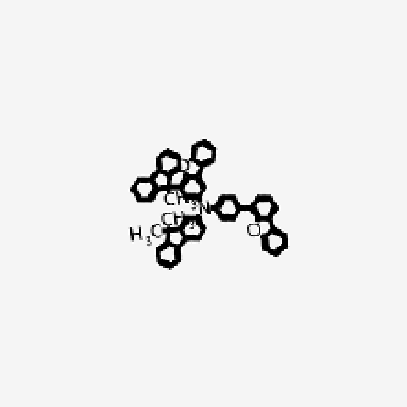 CC1(C)c2ccccc2-c2ccc(N(c3ccc(-c4cccc5c4oc4ccccc45)cc3)c3cc(C4(C)c5ccccc5-c5ccccc54)c4oc5ccccc5c4c3)cc21